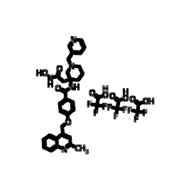 Cc1cc(COc2ccc(C(=O)NC3(CC(=O)NO)CCCN(Cc4cccnc4)C3)cc2)c2ccccc2n1.O=C(O)C(F)(F)F.O=C(O)C(F)(F)F.O=C(O)C(F)(F)F